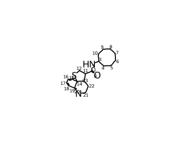 O=C(NC1CCCCCCC1)C1CSC23C=CC=CC2=NCCC13